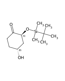 CC(C)(C)[Si](C)(C)O[C@H]1C[C@H](O)CCC1=O